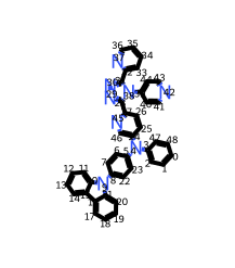 c1ccc(N(c2ccc(-n3c4ccccc4c4ccccc43)cc2)c2ccc(-c3nnc(-c4ccccn4)n3-c3ccncc3)nc2)cc1